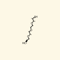 C#CCOCCOCCOCCS